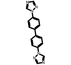 c1ncn(-c2ccc(-c3ccc(-n4cncn4)cc3)cc2)n1